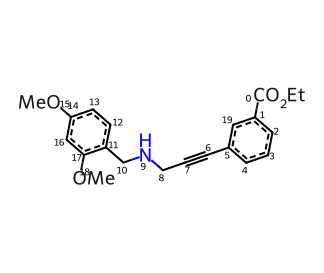 CCOC(=O)c1cccc(C#CCNCc2ccc(OC)cc2OC)c1